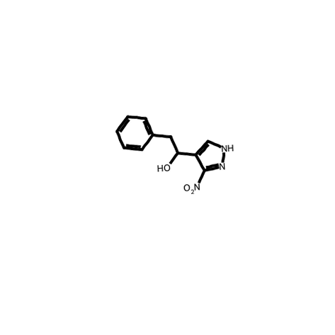 O=[N+]([O-])c1n[nH]cc1C(O)Cc1ccccc1